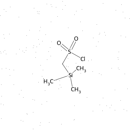 C[Si](C)(C)CS(=O)(=O)Cl